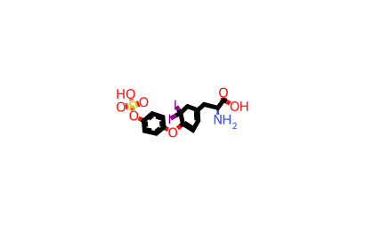 N[C@@H](CC1=CC=C(Oc2ccc(OS(=O)(=O)O)cc2)C(I)(I)C1)C(=O)O